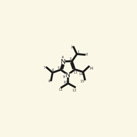 CC(C)c1nc(C(C)C)n(C(C)C)c1C(C)C